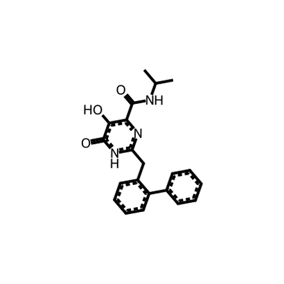 CC(C)NC(=O)c1nc(Cc2ccccc2-c2ccccc2)[nH]c(=O)c1O